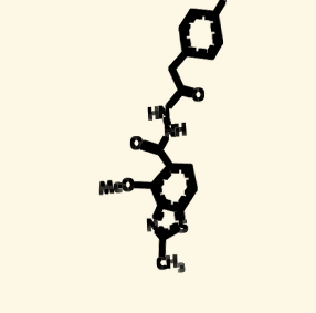 COc1c(C(=O)NNC(=O)Cc2ccc(F)cc2)ccc2sc(C)nc12